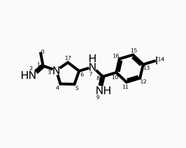 CC(=N)N1CCC(NC(=N)c2ccc(I)cc2)C1